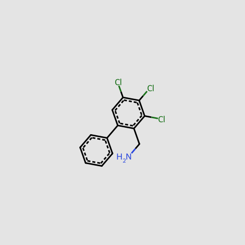 NCc1c(-c2ccccc2)cc(Cl)c(Cl)c1Cl